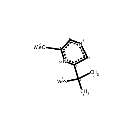 COc1cncc(C(C)(C)SC)n1